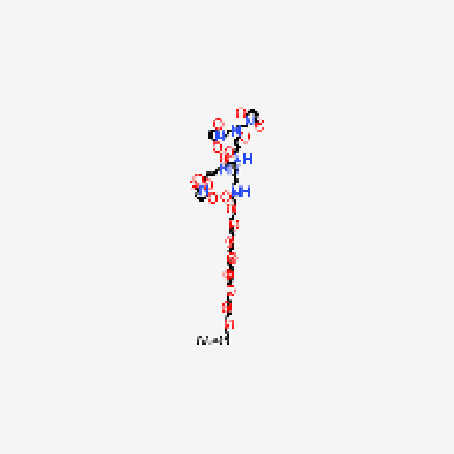 COCCOCCOCCOCCOCCOCCOCCOCCOCC(=O)NCCCC[C@H](NC(=O)CCC(=O)N(CCN1C(=O)C=CC1=O)CCN1C(=O)C=CC1=O)C(=O)NCCCC(=O)ON1C(=O)CCC1=O